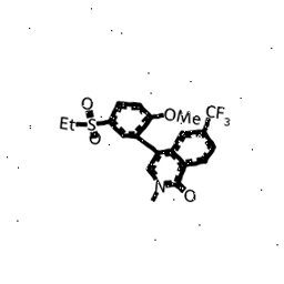 CCS(=O)(=O)c1ccc(OC)c(-c2cn(C)c(=O)c3ccc(C(F)(F)F)cc23)c1